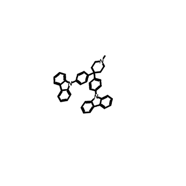 CN1CCC(c2ccc(-n3c4ccccc4c4ccccc43)cc2)(c2ccc(-n3c4ccccc4c4ccccc43)cc2)CC1